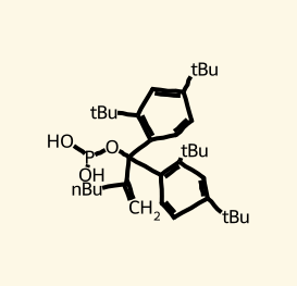 C=C(CCCC)C(OP(O)O)(c1ccc(C(C)(C)C)cc1C(C)(C)C)c1ccc(C(C)(C)C)cc1C(C)(C)C